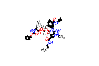 CCCNC(=O)c1cn(NC)c(C(=N)N(C(=O)OCOC(=O)[C@H](C)NC(=O)OCc2ccccc2)c2cc(C(=O)NC3CC3)ccc2C)c1C